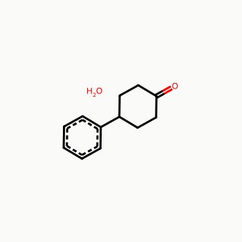 O.O=C1CCC(c2ccccc2)CC1